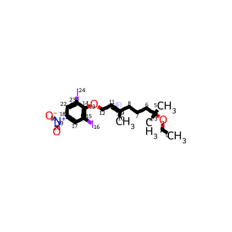 CCOC(C)(C)CCC/C(C)=C/COc1c(I)cc([N+](=O)[O-])cc1I